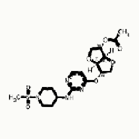 CC(=O)O[C@H]1CO[C@H]2[C@@H]1OC[C@@H]2Oc1ccnc(NC2CCN(S(C)(=O)=O)CC2)n1